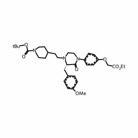 CCOC(=O)COc1ccc(N2CCN(CCC3CCN(C(=O)OC(C)(C)C)CC3)[C@@H](Cc3ccc(OC)cc3)C2=O)cc1